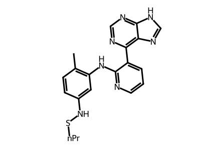 CCCSNc1ccc(C)c(Nc2ncccc2-c2ncnc3[nH]cnc23)c1